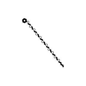 CCCCCOCCOCCOCCOCCOCCOCCOCCOCCOCCOCCOc1ccccc1